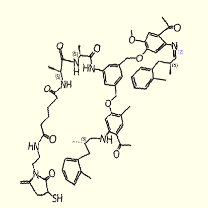 C=C1CC(S)C(=O)N1CCNC(=O)CCCCC(=O)N[C@@H](C)C(=O)N[C@@H](C)C(=O)Nc1cc(COc2cc(NC[C@@H](C)Cc3ccccc3C)c(C(C)=O)cc2C)cc(COc2cc(/N=C\[C@@H](C)Cc3ccccc3C)c(C(C)=O)cc2OC)c1